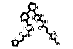 CC(C)c1noc(CCC(=O)Nc2nnc(-c3ncccc3-c3ccnc(-c4nnc(NC(=O)Cc5cccs5)[nH]4)c3)[nH]2)n1